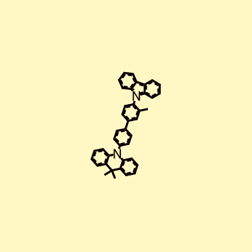 Cc1cc(-c2ccc(N3c4ccccc4C(C)(C)c4ccccc43)cc2)ccc1-n1c2ccccc2c2ccccc21